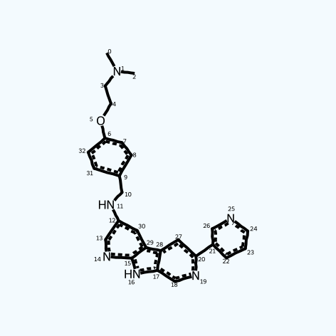 CN(C)CCOc1ccc(CNc2cnc3[nH]c4cnc(-c5cccnc5)cc4c3c2)cc1